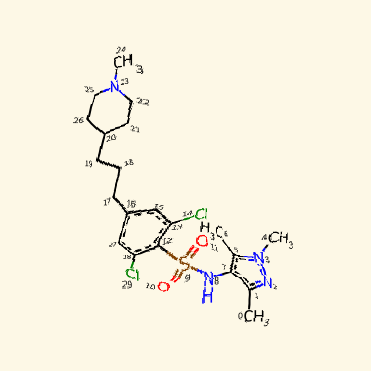 Cc1nn(C)c(C)c1NS(=O)(=O)c1c(Cl)cc(CCCC2CCN(C)CC2)cc1Cl